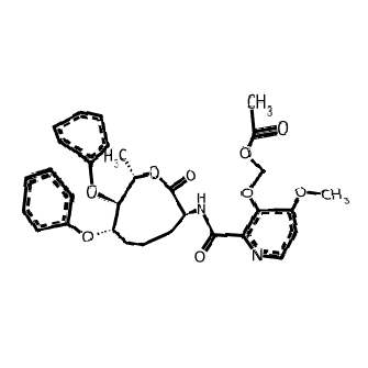 COc1ccnc(C(=O)N[C@H]2CCC[C@H](Oc3ccccc3)[C@@H](Oc3ccccc3)[C@H](C)OC2=O)c1OCOC(C)=O